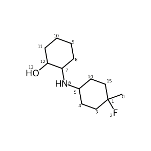 CC1(F)CCC(NC2CCCCC2O)CC1